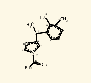 [CH2]c1cccc([C@H](C)c2cn(C(=O)C(C)(C)C)cn2)c1C